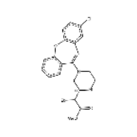 CCC(C(=O)OC)[C@@H]1CN(C2=Nc3cc(Cl)ccc3Oc3ccccc32)CCN1